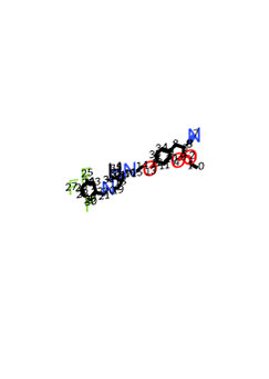 CCOC(=O)[C@H](C#N)Cc1ccc(OCCN[C@H]2C3CN(Cc4cc(F)c(F)cc4F)C[C@@H]32)cc1